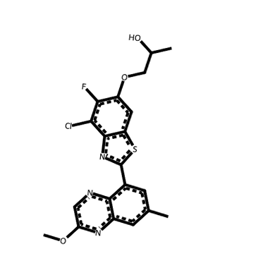 COc1cnc2c(-c3nc4c(Cl)c(F)c(OCC(C)O)cc4s3)cc(C)cc2n1